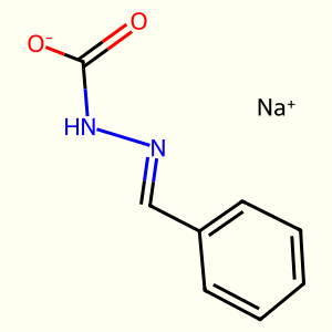 O=C([O-])NN=Cc1ccccc1.[Na+]